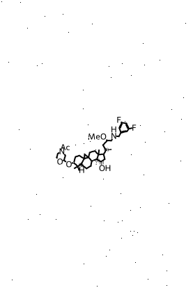 COC(CNCc1cc(F)cc(F)c1)C[C@@H](C)C1C[C@H](O)[C@@]2(C)C3CC[C@H]4C(C)(C)C(OC5CN(C(C)=O)CCO5)CCC45CC35CCC12C